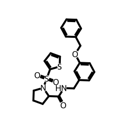 O=C(NCc1cccc(OCc2ccccc2)c1)C1CCCN1S(=O)(=O)c1cccs1